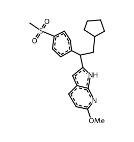 COc1ccc2cc(C(CC3CCCC3)c3ccc(S(C)(=O)=O)cc3)[nH]c2n1